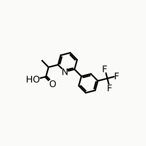 CC(C(=O)O)c1cccc(-c2cccc(C(F)(F)F)c2)n1